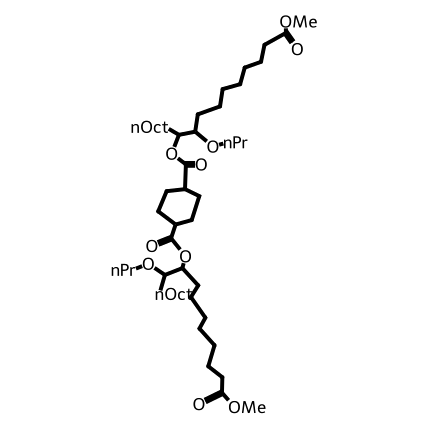 CCCCCCCCC(OCCC)C(CCCCCCCC(=O)OC)OC(=O)C1CCC(C(=O)OC(CCCCCCCC)C(CCCCCCCC(=O)OC)OCCC)CC1